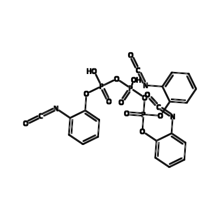 O=C=Nc1ccccc1OP(=O)(O)OP(=O)(O)OP(=O)(Oc1ccccc1N=C=O)Oc1ccccc1N=C=O